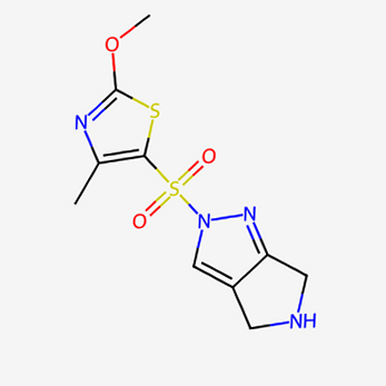 COc1nc(C)c(S(=O)(=O)n2cc3c(n2)CNC3)s1